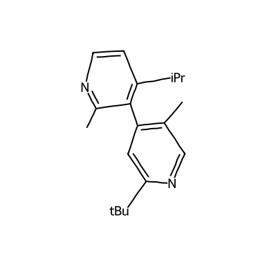 Cc1cnc(C(C)(C)C)cc1-c1c(C(C)C)ccnc1C